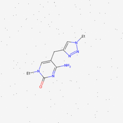 CCn1cc(Cc2cn(CC)c(=O)nc2N)nn1